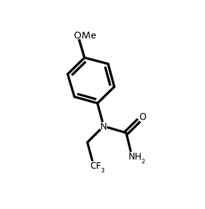 COc1ccc(N(CC(F)(F)F)C(N)=O)cc1